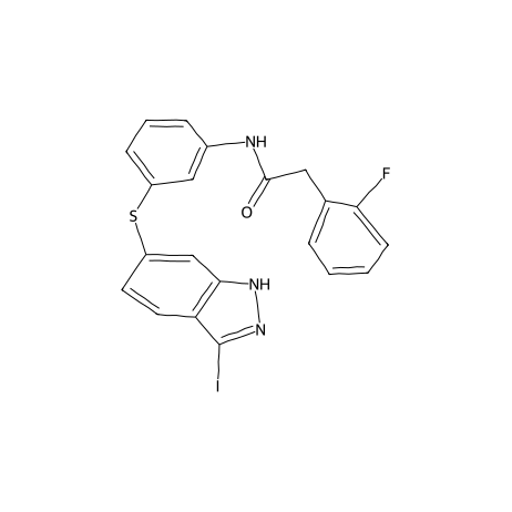 O=C(Cc1ccccc1F)Nc1cccc(Sc2ccc3c(I)n[nH]c3c2)c1